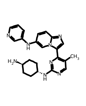 Cc1cnc(N[C@H]2CC[C@H](N)CC2)nc1-c1cnc2ccc(Nc3cccnc3)cn12